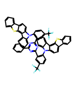 FC(F)(F)c1ccc(-n2c3ccccc3c3c4sc5ccccc5c4ccc32)c(-c2nc(-c3ccccc3)nc(-c3cc(C(F)(F)F)ccc3-n3c4ccccc4c4c5sc6ccccc6c5ccc43)n2)c1